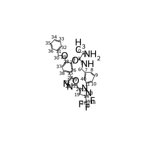 C[C@H](N)C(=O)NCc1cccc(-n2nc(C(F)(F)F)cc2-c2nnc(-c3ccc(OCc4ccccc4)cc3)o2)c1